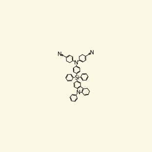 N#CC1=CC=C(N(C2=CC=C(C#N)CC2)c2ccc([Si](c3ccccc3)(c3ccccc3)c3ccc4c(c3)c3c(n4-c4ccccc4)C=CCC3)cc2)CC1